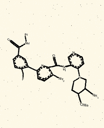 COC1CCN(c2ccncc2NC(=O)c2nc(-c3cc(C(=O)NC(C)C)ccc3F)ccc2N)CC1N